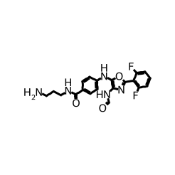 NCCCNC(=O)c1ccc(Nc2oc(-c3c(F)cccc3F)nc2NC=O)cc1